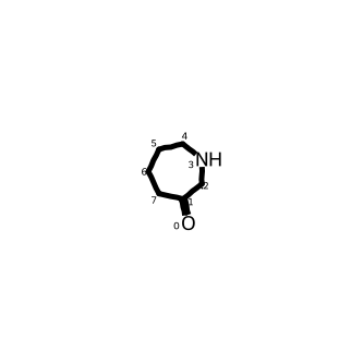 O=C1[CH]NCCCC1